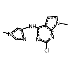 Cn1cnc(Nc2nc(Cl)nc3c2ccn3C)c1